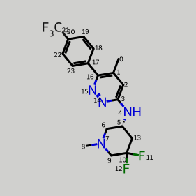 Cc1cc(N[C@H]2CN(C)CC(F)(F)C2)nnc1-c1ccc(C(F)(F)F)cc1